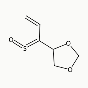 C=CC(=S=O)C1COCO1